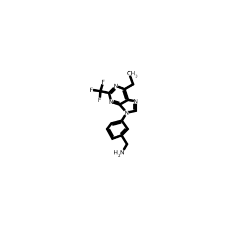 CCc1nc(C(F)(F)F)nc2c1ncn2-c1cccc(CN)c1